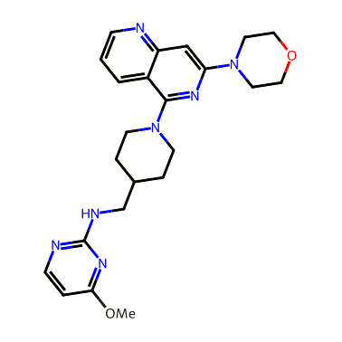 COc1ccnc(NCC2CCN(c3nc(N4CCOCC4)cc4ncccc34)CC2)n1